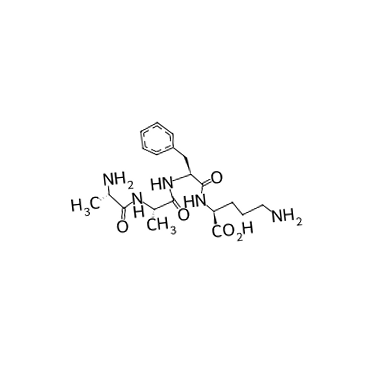 C[C@H](N)C(=O)N[C@@H](C)C(=O)N[C@@H](Cc1ccccc1)C(=O)N[C@@H](CCCN)C(=O)O